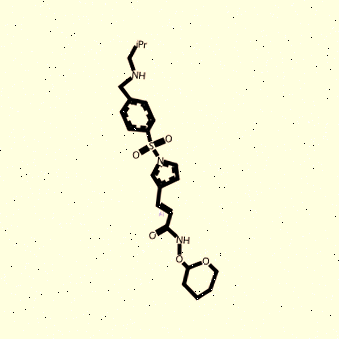 CC(C)CNCc1ccc(S(=O)(=O)n2ccc(/C=C/C(=O)NOC3CCCCO3)c2)cc1